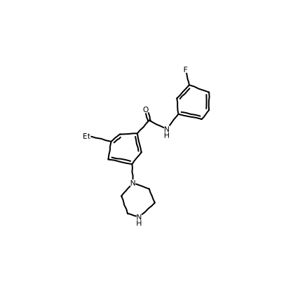 CCc1cc(C(=O)Nc2cccc(F)c2)cc(N2CCNCC2)c1